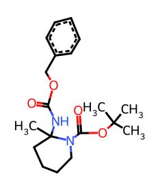 CC(C)(C)OC(=O)N1CCCCC1(C)NC(=O)OCc1ccccc1